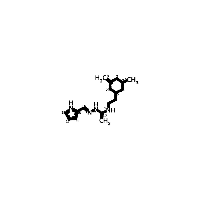 C=C1CC(C)CC(CCNC(=C)N/N=C/c2ccc[nH]2)C1